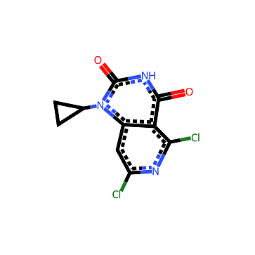 O=c1[nH]c(=O)n(C2CC2)c2cc(Cl)nc(Cl)c12